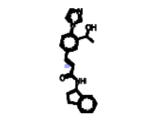 CC(O)c1cc(/C=C/C(=O)NC2CCc3ccccc32)ccc1-n1ccnc1